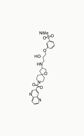 CNS(=O)(=O)c1cccc(OC[C@@H](O)CNC2COC3(CCN(S(=O)(=O)c4cnc5cccnc5c4)CC3)C2)c1